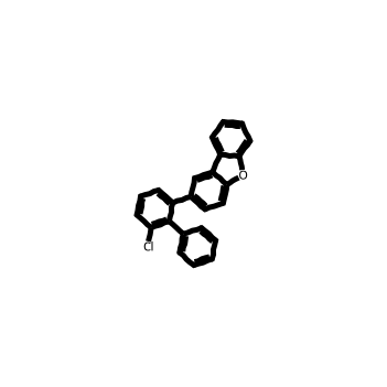 Clc1cccc(-c2ccc3oc4ccccc4c3c2)c1-c1ccccc1